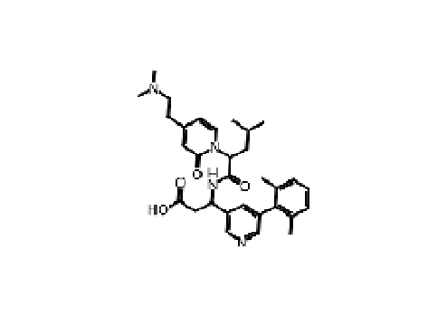 Cc1cccc(C)c1-c1cncc(C(CC(=O)O)NC(=O)C(CC(C)C)n2ccc(CCN(C)C)cc2=O)c1